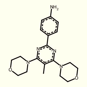 Cc1c(N2CCOCC2)nc(-c2ccc(N)cc2)nc1N1CCOCC1